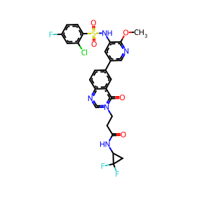 COc1ncc(-c2ccc3ncn(CCC(=O)NC4CC4(F)F)c(=O)c3c2)cc1NS(=O)(=O)c1ccc(F)cc1Cl